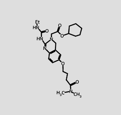 CCNC(=O)NC1=Nc2ccc(OCCCC(=O)N(C)C)cc2CN1CC(=O)OC1CCCCC1